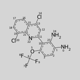 Nc1ccc(OC(F)(F)F)c(-c2cc(Cl)c3cccc(Cl)c3n2)c1N